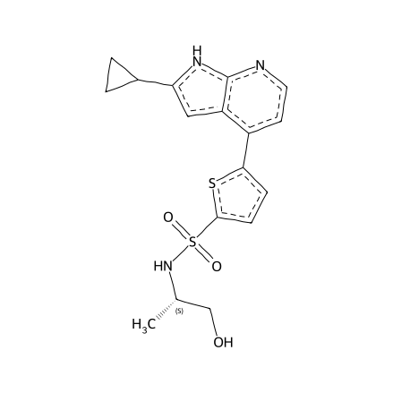 C[C@@H](CO)NS(=O)(=O)c1ccc(-c2ccnc3[nH]c(C4CC4)cc23)s1